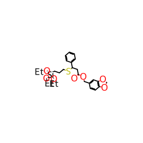 CCO[Si](CCCSC(CC(=O)OCc1ccc2c(c1)OCO2)c1ccccc1)(OCC)OCC